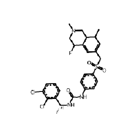 CC1C=C(CS(=O)(=O)c2ccc(NC(=O)N[C@H](C)c3cccc(Cl)c3Cl)cc2)C=C2C(F)CN(C)CC21